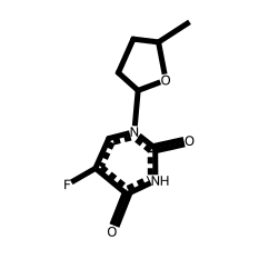 CC1CCC(n2cc(F)c(=O)[nH]c2=O)O1